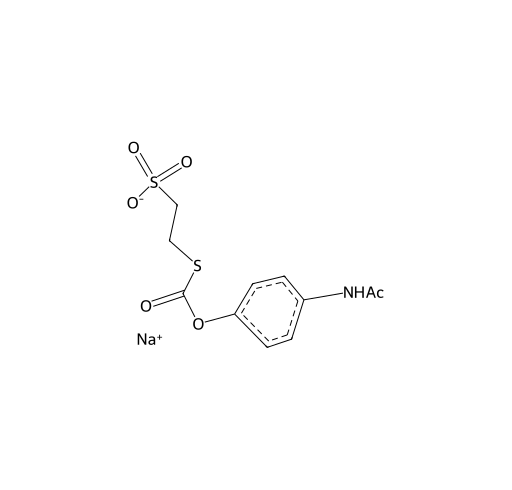 CC(=O)Nc1ccc(OC(=O)SCCS(=O)(=O)[O-])cc1.[Na+]